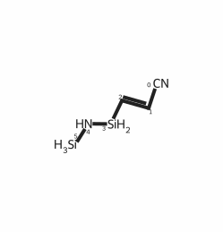 N#CC=C[SiH2]N[SiH3]